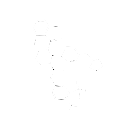 Cc1cccc(F)c1C(=O)N1CCC[C@H](C(=O)Nc2ccc(C(=O)O)c(C(F)(F)F)c2)C1[C@@H]1C=CC(NC2CCCC2)=CC1